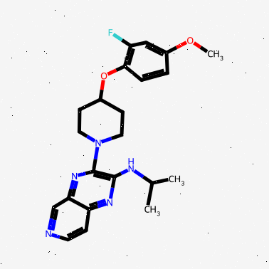 COc1ccc(OC2CCN(c3nc4cnccc4nc3NC(C)C)CC2)c(F)c1